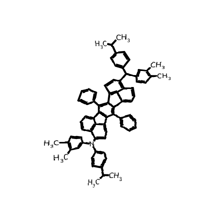 Cc1ccc(C(c2ccc(C(C)C)cc2)c2ccc3c4c(-c5ccccc5)c5c6cccc7c(N(c8ccc(C(C)C)cc8)c8ccc(C)c(C)c8)ccc(c5c(-c5ccccc5)c4c4cccc2c34)c76)cc1C